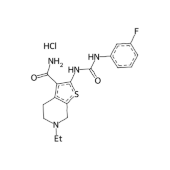 CCN1CCc2c(sc(NC(=O)Nc3cccc(F)c3)c2C(N)=O)C1.Cl